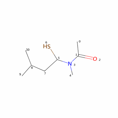 CC(=O)N(C)C(S)CC(C)C